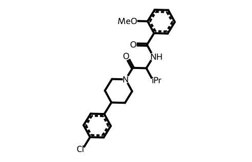 COc1ccccc1C(=O)NC(C(=O)N1CCC(c2ccc(Cl)cc2)CC1)C(C)C